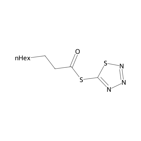 CCCCCCCCC(=O)Sc1nnns1